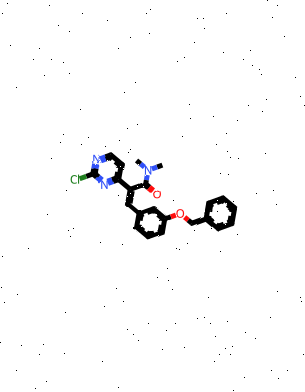 CN(C)C(=O)C(=Cc1cccc(OCc2ccccc2)c1)c1ccnc(Cl)n1